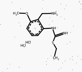 CCSC(=N)Nc1cccc(OC)c1CN.Cl.Cl